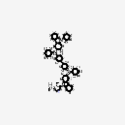 C=C(/C=C\C(C)C)n1c2ccccc2c2cc(N(c3ccccc3)c3ccc(-c4ccc(N(C5=CC=C6C(C5)c5ccccc5N6c5ccccc5)c5ccccc5)cc4)cc3)ccc21